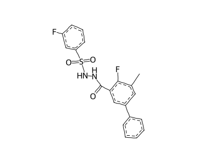 Cc1cc(-c2ccccc2)cc(C(=O)NNS(=O)(=O)c2cccc(F)c2)c1F